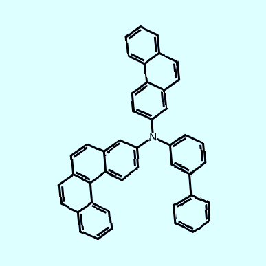 c1ccc(-c2cccc(N(c3ccc4c(ccc5ccccc54)c3)c3ccc4c(ccc5ccc6ccccc6c54)c3)c2)cc1